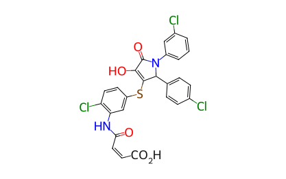 O=C(O)/C=C\C(=O)Nc1cc(SC2=C(O)C(=O)N(c3cccc(Cl)c3)C2c2ccc(Cl)cc2)ccc1Cl